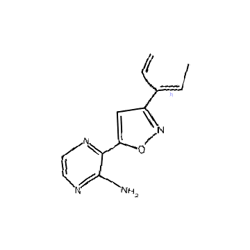 C=C/C(=C\C)c1cc(-c2nccnc2N)on1